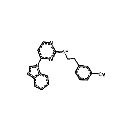 N#Cc1cccc(CCNc2nccc(-n3cnc4ccccc43)n2)c1